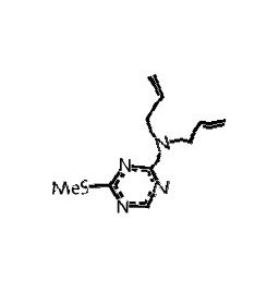 C=CCN(CC=C)c1ncnc(SC)n1